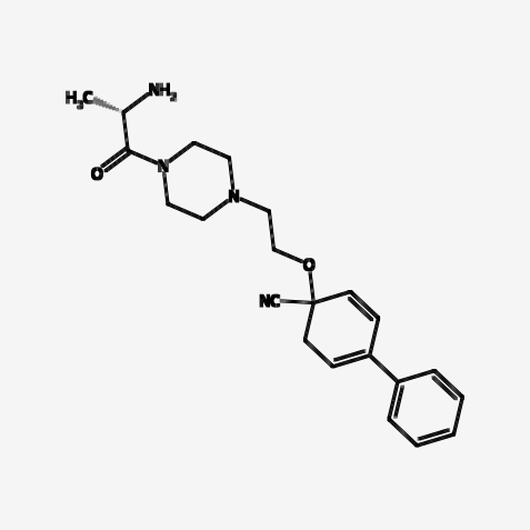 C[C@H](N)C(=O)N1CCN(CCOC2(C#N)C=CC(c3ccccc3)=CC2)CC1